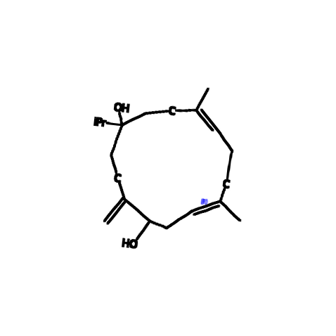 C=C1CCC(O)(C(C)C)CCC(C)=CCC/C(C)=C/CC1O